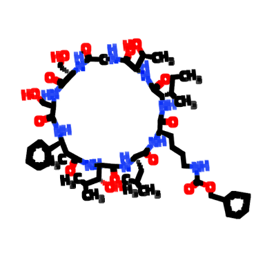 CCC(C)[C@@H]1NC(=O)[C@@H](CCCCNC(=O)OCc2ccccc2)NC(=O)[C@H](CC(C)C)NC(=O)[C@H]([C@H](O)C(C)C)NC(=O)[C@@H](C)[C@@H](c2ccccc2)NC(=O)C(CO)NC(=O)[C@H](CO)NC(=O)CNC(=O)[C@H]([C@H](C)O)NC1=O